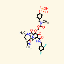 CC1=NO[C@@]2(CC[C@H](C)N3C[C@H]2n2cc(C(=O)NCc4ccc(F)cc4F)c(=O)c(OCOC(=O)N(C)Cc4ccc(OP(=O)(O)O)cc4)c2C3=O)C1